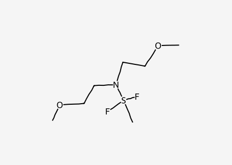 COCCN(CCOC)S(C)(F)F